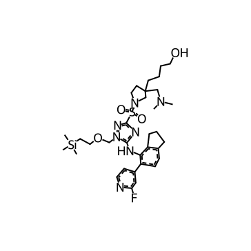 CN(C)CC1(CCCCO)CCN(S(=O)(=O)c2nc(Nc3c(-c4ccnc(F)c4)ccc4c3CCC4)n(COCC[Si](C)(C)C)n2)C1